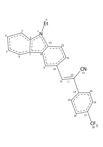 CCn1c2ccccc2c2cc(/C=C(\C#N)c3ccc(C(F)(F)F)cc3)ccc21